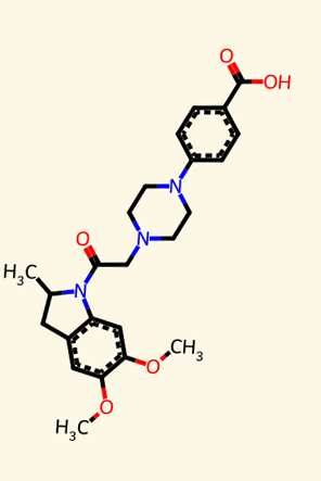 COc1cc2c(cc1OC)N(C(=O)CN1CCN(c3ccc(C(=O)O)cc3)CC1)C(C)C2